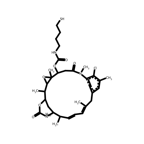 C/C1=C\C=C\C(C)C2(O)CC(OC(=O)N2)C(C)C2OC2(C)C(OC(=O)NCCCCS)CC(=O)N(C)c2cc(cc(C)c2Cl)C1